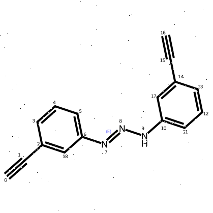 C#Cc1cccc(/N=N/Nc2cccc(C#C)c2)c1